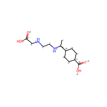 CC(NCCNCC(=O)O)C1CCC(C(=O)O)CC1